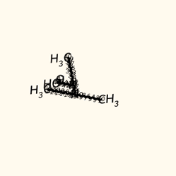 CCCCCCCCCCCCN(CCCCCCCCCCCC)CCCN(CCCCCCCCCCCC)CCCCCC(=O)O